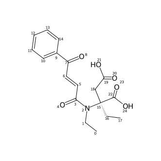 CCN(C(=O)/C=C/C(=O)c1ccccc1)[C@@](CC)(CC(=O)O)C(=O)O